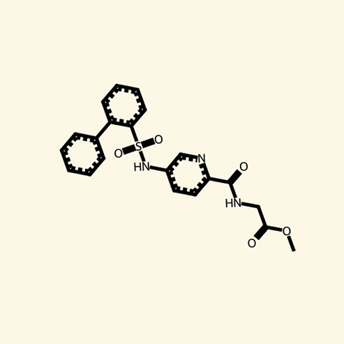 COC(=O)CNC(=O)c1ccc(NS(=O)(=O)c2ccccc2-c2ccccc2)cn1